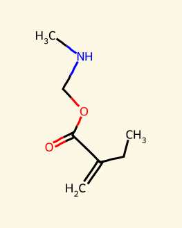 C=C(CC)C(=O)OCNC